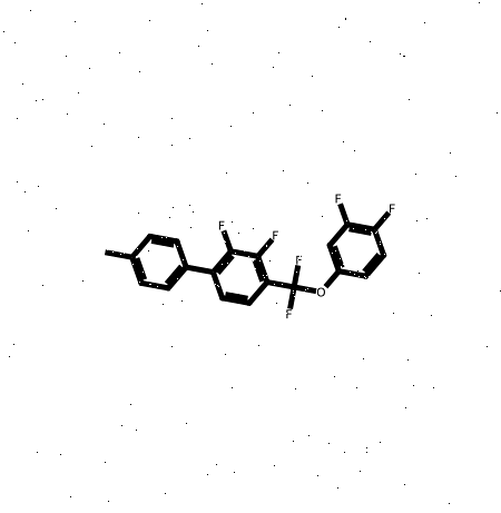 Cc1ccc(-c2ccc(C(F)(F)Oc3ccc(F)c(F)c3)c(F)c2F)cc1